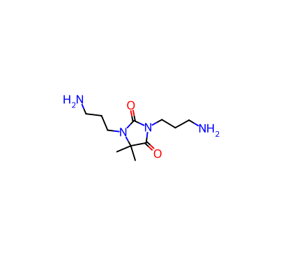 CC1(C)C(=O)N(CCCN)C(=O)N1CCCN